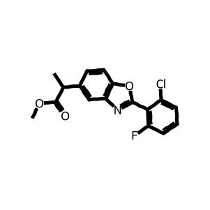 COC(=O)C(C)c1ccc2oc(-c3c(F)cccc3Cl)nc2c1